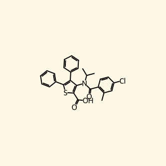 Cc1cc(Cl)ccc1C(=O)N(c1c(C(=O)O)sc(-c2ccccc2)c1-c1ccccc1)C(C)C